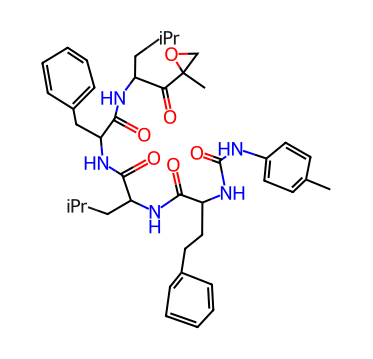 Cc1ccc(NC(=O)NC(CCc2ccccc2)C(=O)NC(CC(C)C)C(=O)NC(Cc2ccccc2)C(=O)NC(CC(C)C)C(=O)C2(C)CO2)cc1